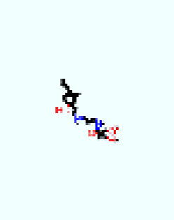 CCCC1=C(C)C2CCC1CC2(O)CCN(C)CCCN(C)C(=O)C(C)(COC)COC